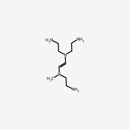 CN(/C=C/N(CCN)CCN)CCN